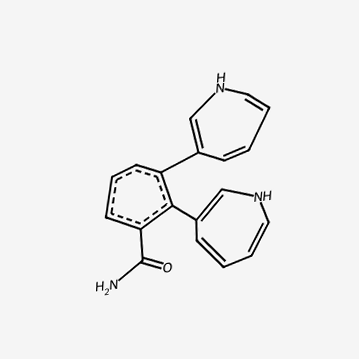 NC(=O)c1cccc(C2=CNC=CC=C2)c1C1=CNC=CC=C1